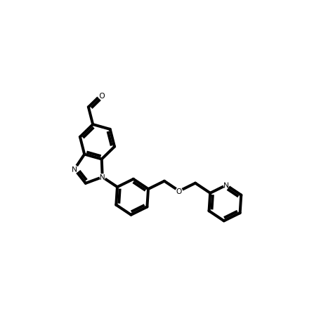 O=Cc1ccc2c(c1)ncn2-c1cccc(COCc2ccccn2)c1